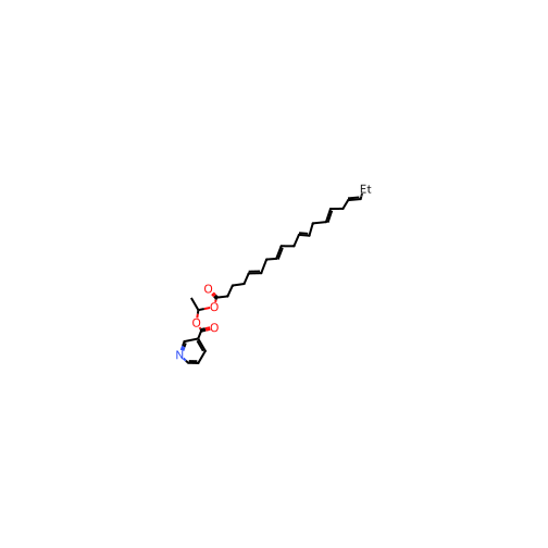 CCC=CCC=CCC=CCC=CCC=CCCCC(=O)OC(C)OC(=O)c1cccnc1